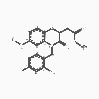 CCCCOC(=O)CC1Sc2ccc(OCC)cc2N(Cc2ccc(Br)cc2F)C1=O